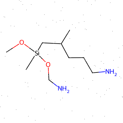 CO[Si](C)(CC(C)CCCN)OCN